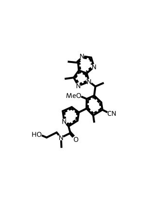 COc1c(C(C)n2nc(C)c3c(C)ncnc32)cc(C#N)c(C)c1-c1ccnc(C(=O)N(C)CCO)c1